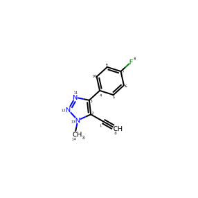 C#Cc1c(-c2ccc(F)cc2)nnn1C